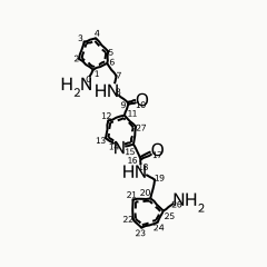 Nc1ccccc1CNC(=O)c1ccnc(C(=O)NCc2ccccc2N)c1